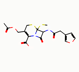 CSC12SCC(COC(C)=O)=C(C(=O)O)N1C(=O)C2NC(=O)Cc1ccoc1